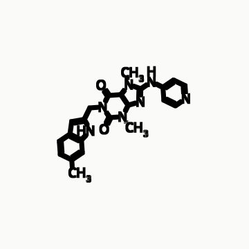 Cc1ccc2cc(CN3C(=O)C4C(N=C(Nc5ccncc5)N4C)N(C)C3=O)[nH]c2c1